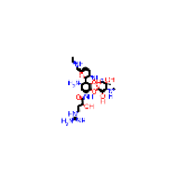 CCNCC1=CC[C@@H](N)[C@@H](C2[C@@H](N)C[C@@H](NC(=O)[C@@H](O)CCNC(=N)N)[C@H](O[C@H]3OC[C@](C)(O)[C@H](NC)[C@H]3O)[C@H]2O)O1